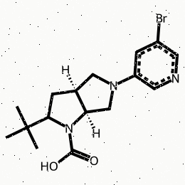 CC(C)(C)C1C[C@H]2CN(c3cncc(Br)c3)C[C@H]2N1C(=O)O